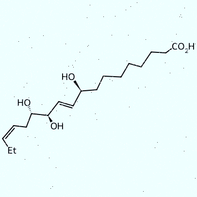 CC/C=C\C[C@H](O)[C@H](O)/C=C/[C@@H](O)CCCCCCCC(=O)O